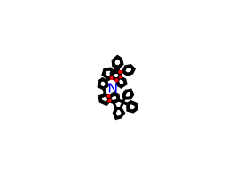 c1ccc(-c2cccc(-c3ccccc3)c2N(c2ccc3c(c2)C(c2ccccc2)(c2ccccc2)c2ccccc2-3)c2cccc3c2-c2ccccc2C3(c2ccccc2)c2ccccc2)cc1